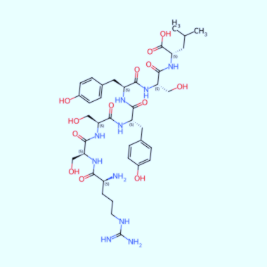 CC(C)C[C@H](NC(=O)[C@H](CO)NC(=O)[C@H](Cc1ccc(O)cc1)NC(=O)[C@H](Cc1ccc(O)cc1)NC(=O)[C@H](CO)NC(=O)[C@H](CO)NC(=O)[C@@H](N)CCCNC(=N)N)C(=O)O